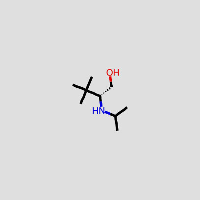 CC(C)N[C@@H](CO)C(C)(C)C